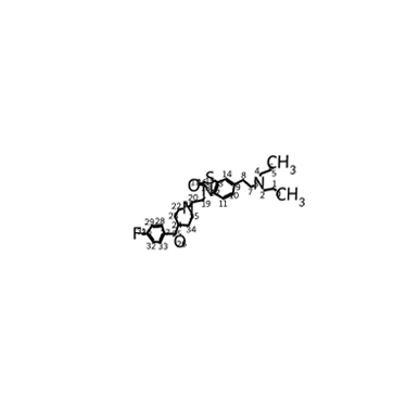 CCCN(CCC)CCc1ccc2c(c1)sc(=O)n2CCN1CCC(C(=O)c2ccc(F)cc2)CC1